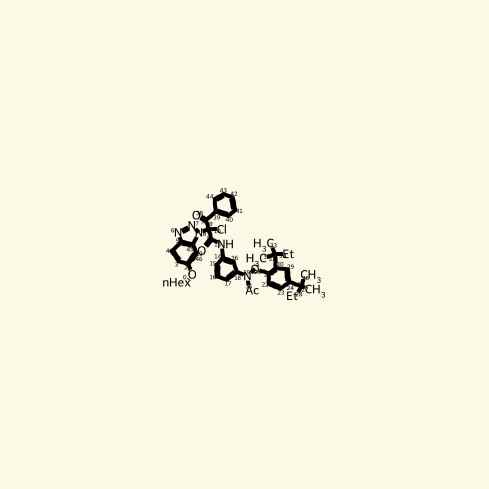 CCCCCCOc1ccc2nnn(C(Cl)(C(=O)Nc3cccc(N(Oc4ccc(C(C)(C)CC)cc4C(C)(C)CC)C(C)=O)c3)C(=O)c3ccccc3)c2c1